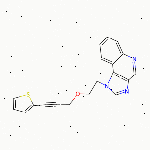 C(#Cc1cccs1)COCCn1cnc2cnc3ccccc3c21